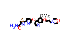 COc1cc2c(Oc3ccc(-c4nc(C(N)=O)cs4)nc3)ccnc2cc1OCCCN1CCOCC1